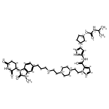 CC(C)NC(=O)O[C@H]1CC[C@@H](c2cc(NC(=O)c3ccnn3CCN3CCN(CCOCCCc4ccc5c(c4)n(C)c(=O)n5C4CCC(=O)NC4=O)CC3)[nH]n2)C1